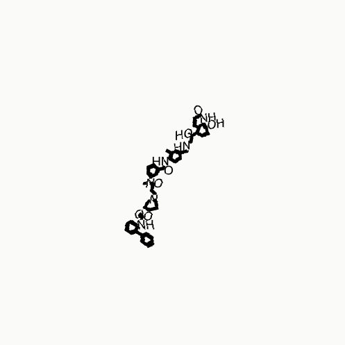 Cc1cc(CNC[C@@H](O)c2ccc(O)c3[nH]c(=O)ccc23)ccc1NC(=O)c1cccc(N(C)C(=O)CCN2CCC(OC(=O)Nc3ccccc3-c3ccccc3)CC2)c1